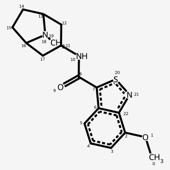 COc1cccc2c(C(=O)NC3CC4CCC(C3)N4C)snc12